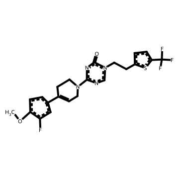 COc1ccc(C2=CCN(c3ncn(CCc4ccc(C(F)(F)F)s4)c(=O)n3)CC2)cc1F